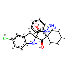 NNC(=O)C1(C(=O)C2(c3ccccc3)CCCCC2)Cc2cc(Cl)ccc2N1